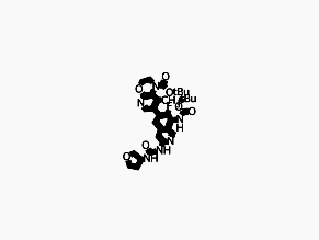 Cc1c(-c2cc3cc(NC(=O)NC4CCOC4)ncc3c(NC(=O)OC(C)(C)C)c2F)cnc2c1N(C(=O)OC(C)(C)C)CCO2